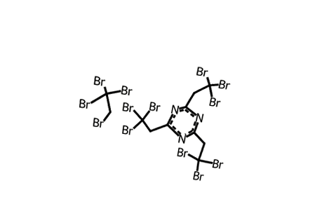 BrC(Br)(Br)Cc1nc(CC(Br)(Br)Br)nc(CC(Br)(Br)Br)n1.BrCC(Br)(Br)Br